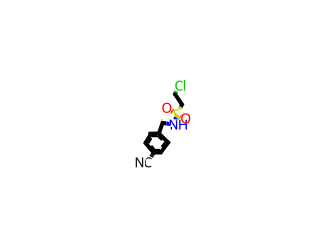 N#Cc1ccc(CNS(=O)(=O)CCCl)cc1